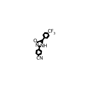 N#Cc1ccc(C2=NC(=O)C3C(N2)C3c2ccc(C(F)(F)F)cc2)cc1